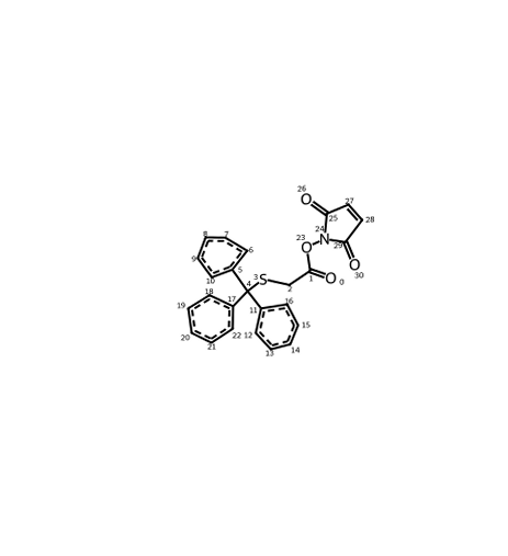 O=C(CSC(c1ccccc1)(c1ccccc1)c1ccccc1)ON1C(=O)C=CC1=O